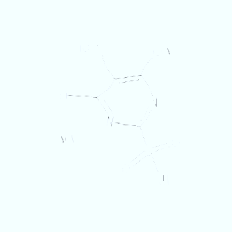 Cc1nc(S(C)(=O)=O)nc(Cl)c1S(=O)(=O)O.Cl